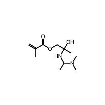 C=C(C)C(=O)OCC(C)(O)NC(C)N(C)C